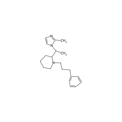 Cc1nccn1C(C)C1CCCCN1CCCc1ccccc1